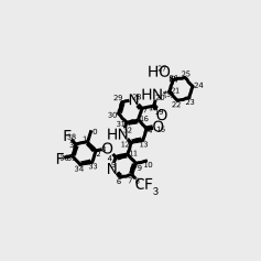 Cc1c(Oc2ncc(C(F)(F)F)c(C)c2-c2cc(=O)c3c(C(=O)N[C@H]4CCCC[C@H]4O)nccc3[nH]2)ccc(F)c1F